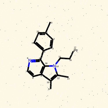 Cc1ccc(-c2nccc3c(C)c(C)n(CCC(C)C)c23)cc1